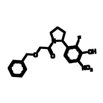 O=C(COCc1ccccc1)N1CCCC1c1ccc([N+](=O)[O-])c(O)c1F